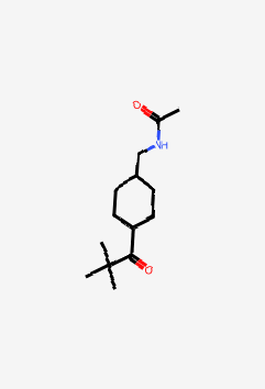 CC(=O)NCC1CCC(C(=O)C(C)(C)C)CC1